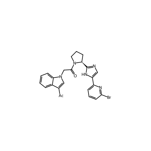 CC(=O)c1cn(CC(=O)N2CCC[C@H]2c2ncc(-c3cccc(Br)n3)[nH]2)c2ccccc12